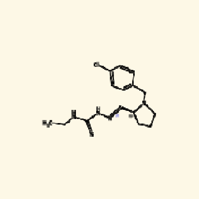 CCNC(=S)N/N=C/[C@@H]1CCCN1Cc1ccc(Cl)cc1